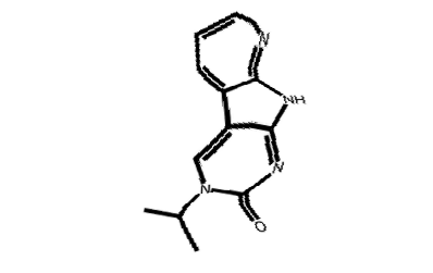 CC(C)n1cc2c(nc1=O)[nH]c1ncccc12